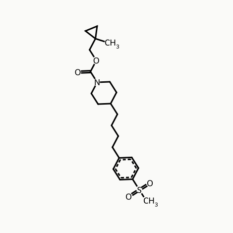 CC1(COC(=O)N2CCC(CCCCc3ccc(S(C)(=O)=O)cc3)CC2)CC1